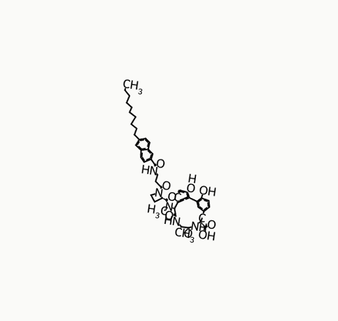 CCCCCCCCCCc1ccc2cc(C(=O)NCCC(=O)N3CC[C@@H]3C(=O)N(C)[C@@H]3C(=O)N[C@@H](C)C(=O)N[C@H](C(=O)O)Cc4ccc(O)c(c4)-c4cc3ccc4O)ccc2c1